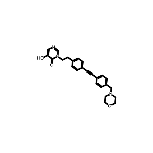 O=c1c(O)cncn1CCc1ccc(C#Cc2ccc(CN3CCOCC3)cc2)cc1